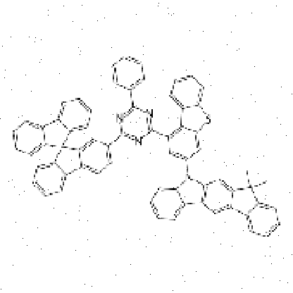 CC1(C)c2ccccc2-c2cc3c4ccccc4n(-c4cc(-c5nc(-c6ccccc6)nc(-c6ccc7c(c6)C6(c8ccccc8-c8ccccc86)c6ccccc6-7)n5)c5c(c4)sc4ccccc45)c3cc21